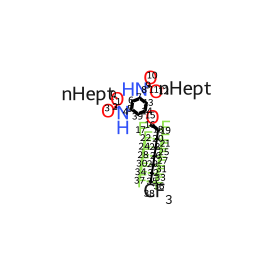 CCCCCCCOC(=O)Nc1cc(NC(=O)OCCCCCCC)cc(OC(F)=C(F)C(F)(F)C(F)(F)C(F)(F)C(F)(F)C(F)(F)C(F)(F)C(F)(F)F)c1